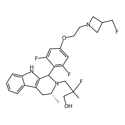 C[C@@H]1Cc2c([nH]c3ccccc23)C(c2c(F)cc(OCCN3CC(CF)C3)cc2F)N1CC(C)(F)CO